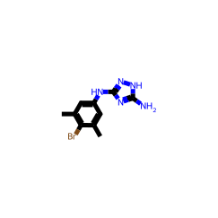 Cc1cc(Nc2n[nH]c(N)n2)cc(C)c1Br